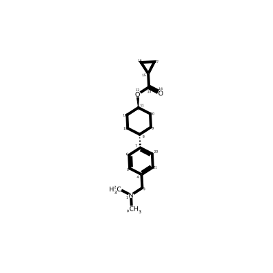 CN(C)Cc1ccc([C@H]2CC[C@H](OC(=O)C3CC3)CC2)cc1